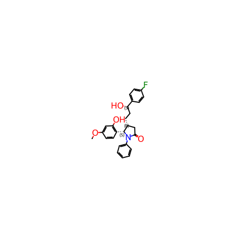 COc1ccc([C@@H]2[C@H](CC[C@H](O)c3ccc(F)cc3)CC(=O)N2c2ccccc2)c(O)c1